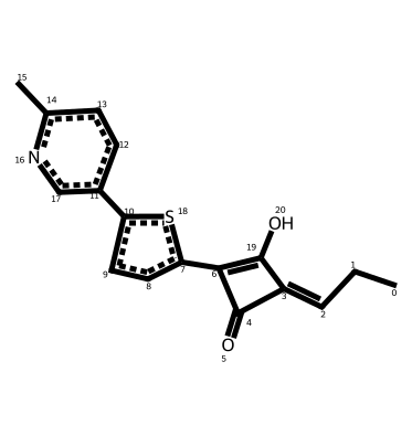 CC/C=C1/C(=O)C(c2ccc(-c3ccc(C)nc3)s2)=C1O